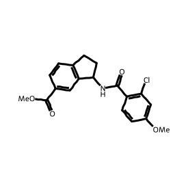 COC(=O)c1ccc2c(c1)C(NC(=O)c1ccc(OC)cc1Cl)CC2